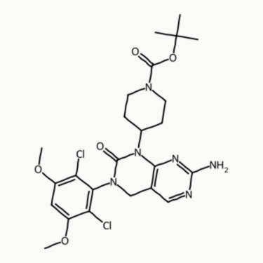 COc1cc(OC)c(Cl)c(N2Cc3cnc(N)nc3N(C3CCN(C(=O)OC(C)(C)C)CC3)C2=O)c1Cl